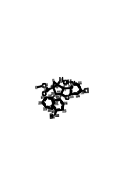 COC(=O)[C@@]12C[C@@H]1[C@@]1(O)c3ncc(Cl)cc3O[C@@]1(c1ccc(Br)cc1)[C@@H]2c1ccccc1